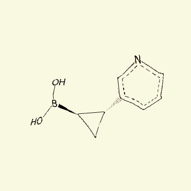 OB(O)[C@@H]1C[C@H]1c1cccnc1